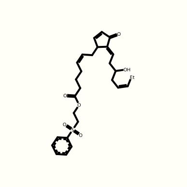 CC/C=C\CC(O)C/C=C1/C(=O)C=CC1C/C=C\CCCC(=O)OCCS(=O)(=O)c1ccccc1